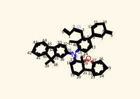 C=C/C=C\c1c(C2=CC(=C)CC=C2)ccc(N(C2=CC=CC3c4ccccc4OC23C)c2ccc3c(c2)C(C)(C)c2ccccc2-3)c1C